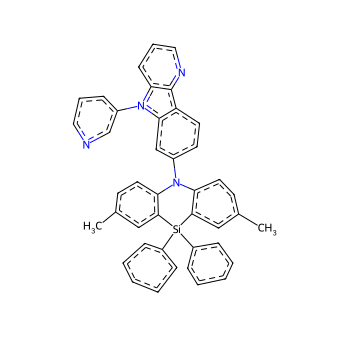 Cc1ccc2c(c1)[Si](c1ccccc1)(c1ccccc1)c1cc(C)ccc1N2c1ccc2c3ncccc3n(-c3cccnc3)c2c1